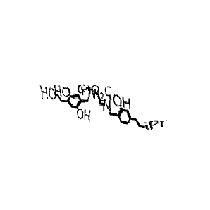 CC(C)CCc1ccc(CN(CCN(CC(=O)O)Cc2ccc(CCO)cc2O)CC(=O)O)c(O)c1